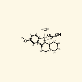 COc1ccc2[nH]c3c(c2c1)CCN1CCC[C@@H](C(=O)O)[C@]31C.Cl